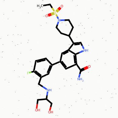 CCS(=O)(=O)N1CCC(c2c[nH]c3c(C(N)=O)cc(-c4ccc(F)c(CNC(CO)CO)c4)cc23)CC1